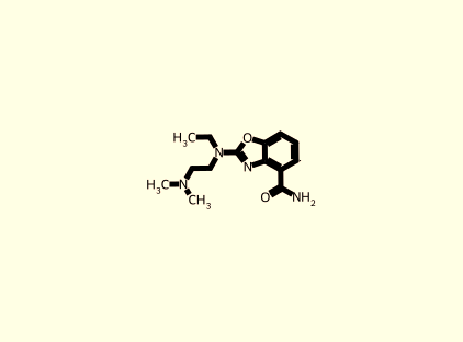 CCN(CCN(C)C)c1nc2c(C(N)=O)[c]ccc2o1